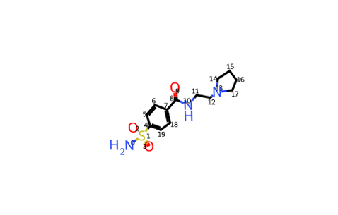 NS(=O)(=O)c1ccc(C(=O)NCCN2CCCC2)cc1